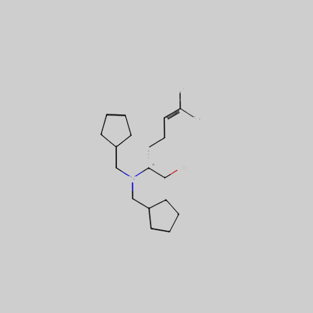 CCC(=CCC[C@H](CO)N(CC1CCCC1)CC1CCCC1)C(=O)O